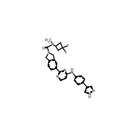 CN(C(=O)N1Cc2ccc(-c3nccc(Nc4ccc(-c5cn[nH]c5)cc4)n3)cc2C1)C1CC(F)(F)C1